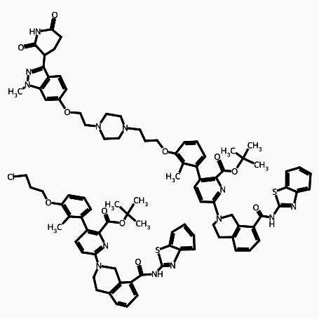 Cc1c(OCCCCl)cccc1-c1ccc(N2CCc3cccc(C(=O)Nc4nc5ccccc5s4)c3C2)nc1C(=O)OC(C)(C)C.Cc1c(OCCCN2CCN(CCOc3ccc4c(C5CCC(=O)NC5=O)nn(C)c4c3)CC2)cccc1-c1ccc(N2CCc3cccc(C(=O)Nc4nc5ccccc5s4)c3C2)nc1C(=O)OC(C)(C)C